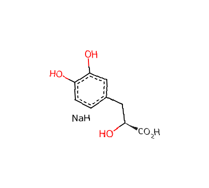 O=C(O)[C@@H](O)Cc1ccc(O)c(O)c1.[NaH]